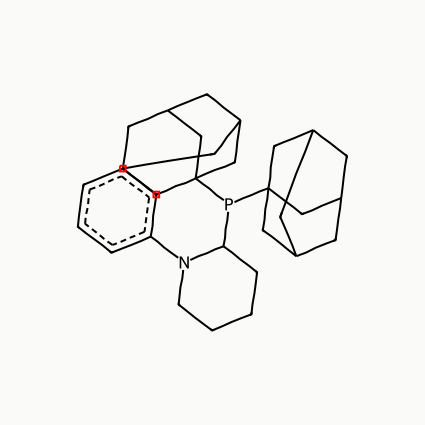 c1ccc(N2CCCCC2P(C23CC4CC(CC(C4)C2)C3)C23CC4CC(CC(C4)C2)C3)cc1